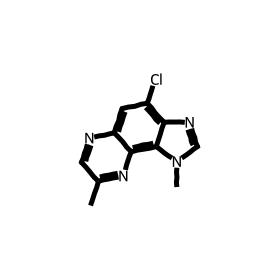 Cc1cnc2cc(Cl)c3ncn(C)c3c2n1